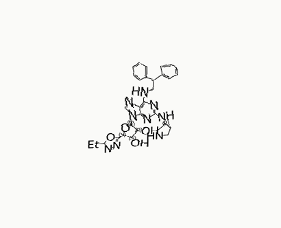 CCc1nnc([C@H]2O[C@@H](n3cnc4c(NCC(c5ccccc5)c5ccccc5)nc(N[C@@H]5CCNC5)nc43)[C@H](O)[C@@H]2O)o1